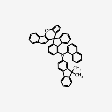 CC1(C)c2ccccc2-c2ccc(N(c3cccc4c3-c3ccccc3C43c4ccccc4Oc4c3ccc3ccccc43)c3cccc4ccccc34)cc21